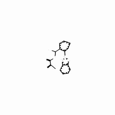 C=C(C)C(=O)OC(CC)c1ccccc1-n1nc2ccccc2n1